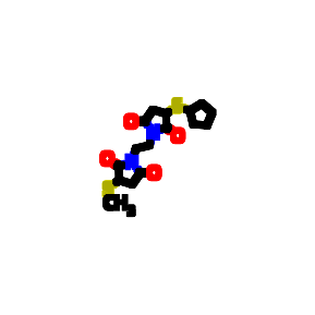 CSC1CC(=O)N(CCN2C(=O)CC(SC3CCCC3)C2=O)C1=O